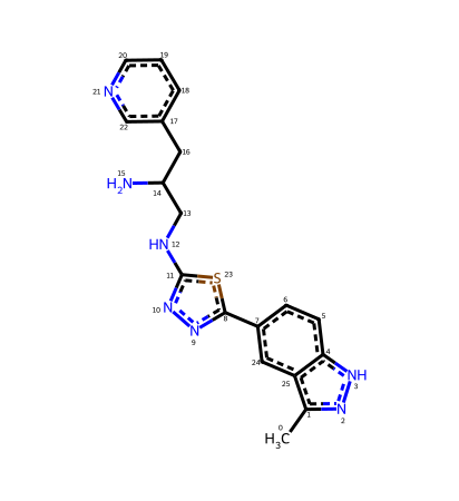 Cc1n[nH]c2ccc(-c3nnc(NCC(N)Cc4cccnc4)s3)cc12